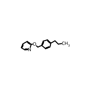 CCCc1ccc(COc2ccccn2)cc1